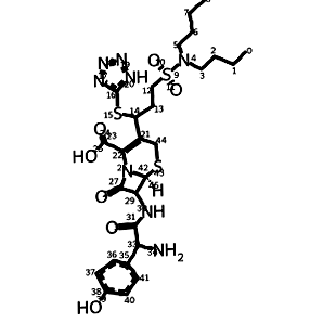 CCCCN(CCCC)S(=O)(=O)CCC(Sc1nnn[nH]1)C1=C(C(=O)O)N2C(=O)C(NC(=O)C(N)c3ccc(O)cc3)[C@@H]2SC1